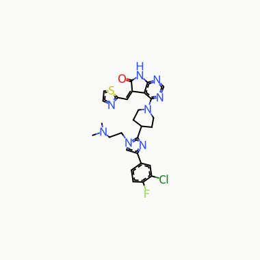 CN(C)CCn1cc(-c2ccc(F)c(Cl)c2)nc1C1CCN(c2ncnc3c2/C(=C/c2nccs2)C(=O)N3)CC1